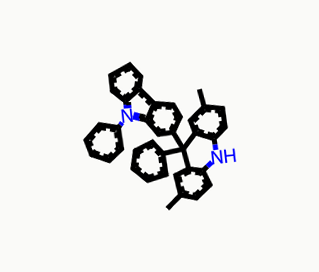 Cc1ccc2c(c1)C(c1ccccc1)(c1ccc3c4ccccc4n(-c4ccccc4)c3c1)c1cc(C)ccc1N2